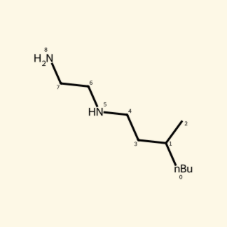 CCCCC(C)CCNCCN